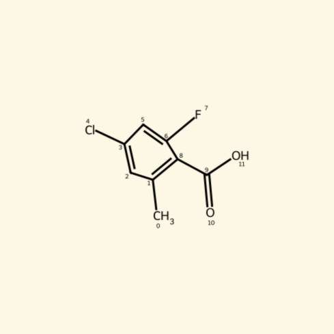 Cc1cc(Cl)cc(F)c1C(=O)O